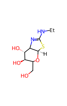 CCNC1=NC2[C@H](OC(CO)[C@@H](O)[C@@H]2O)S1